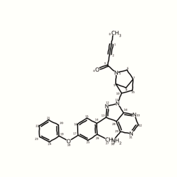 CC#CC(=O)N1CC2CC1C(n1nc(-c3ccc(Oc4ccccc4)cc3C)c3c(N)ncnc31)C2